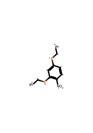 CC(C)CSc1ccc([N+](=O)[O-])c(SCC(C)C)c1